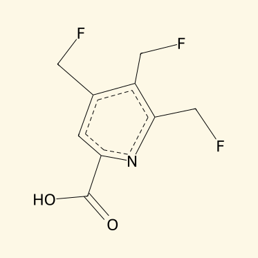 O=C(O)c1cc(CF)c(CF)c(CF)n1